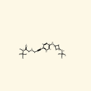 CN(C(=O)COCC#Cc1ccc(OC2CC(OC(C)(C)C)C2)cn1)C(C)(C)C